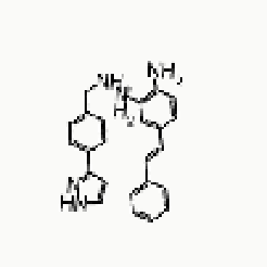 NCc1ccc(-c2cc[nH]n2)cc1.Nc1ccc(C=Cc2ccccc2)cc1N